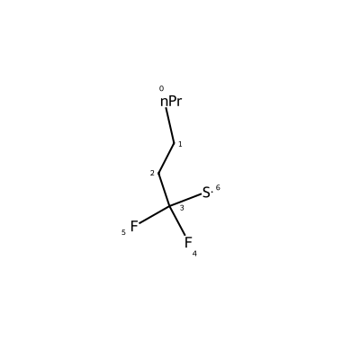 CCCCCC(F)(F)[S]